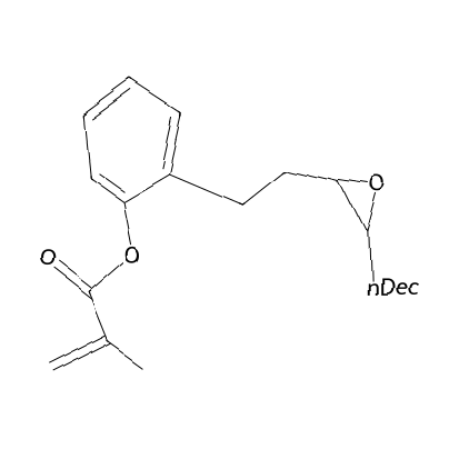 C=C(C)C(=O)Oc1ccccc1CCC1OC1CCCCCCCCCC